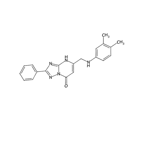 Cc1ccc(NCc2cc(=O)n3nc(-c4ccccc4)nc3[nH]2)cc1C